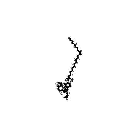 CCCCCCCC/C=C\CCCCCCCCCCCC(=O)Oc1ccc2c3c1O[C@H]1C(=O)CC[C@@]4(O)C(C2)N(CC2CC2)CC[C@]314